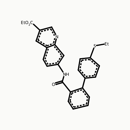 CCOC(=O)c1cnc2cc(NC(=O)c3ccccc3-c3ccc(SCC)cc3)ccc2c1